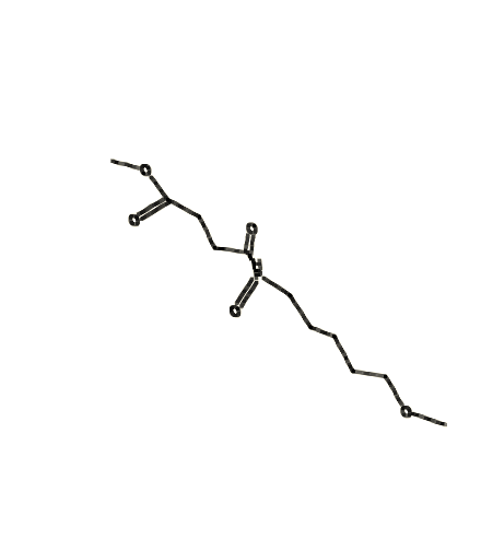 COCCCCC[PH](=O)C(=O)CCC(=O)OC